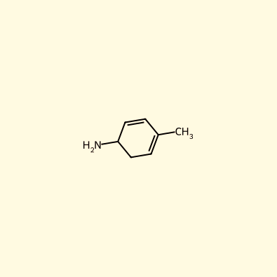 CC1=CCC(N)C=C1